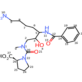 CN(CC(O)C(CCCCN)NC(=O)c1ccccc1)C(=O)N1CCC[C@H]1C(=O)O